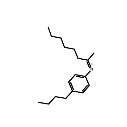 CCCCCC/C(C)=N\c1ccc(CCCC)cc1